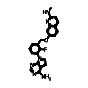 CNc1ccc2ccc(OCc3cccc(-n4ccc5c(N)ncnc54)c3F)cc2n1